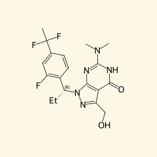 CC[C@H](c1ccc(C(C)(F)F)cc1F)n1nc(CO)c2c(=O)[nH]c(N(C)C)nc21